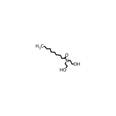 CCCCCCCCCC(=O)N(CCO)CCO